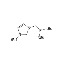 CC(C)(C)N1[C]N(CP(C(C)(C)C)C(C)(C)C)C=C1